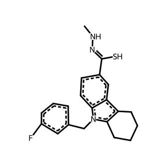 CN/N=C(\S)c1ccc2c(c1)c1c(n2Cc2cccc(F)c2)CCCC1